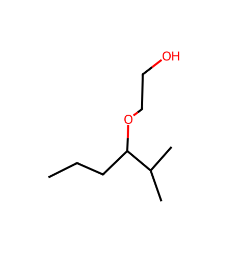 CCCC(OCCO)C(C)C